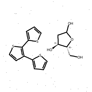 OC[C@H]1OC(O)C[C@@H]1O.c1csc(-c2ccsc2-c2cccs2)c1